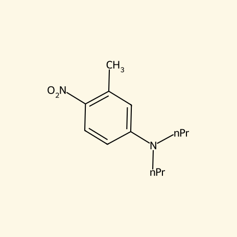 CCCN(CCC)c1ccc([N+](=O)[O-])c(C)c1